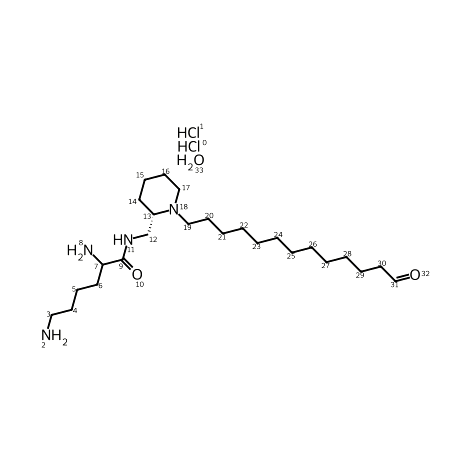 Cl.Cl.NCCCCC(N)C(=O)NC[C@@H]1CCCCN1CCCCCCCCCCCCC=O.O